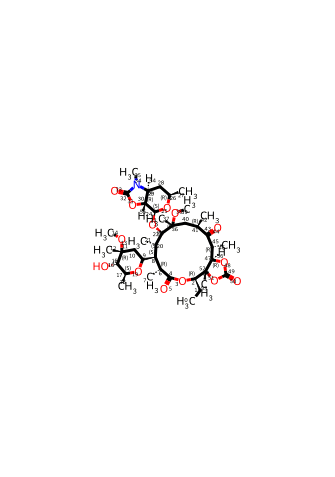 CC[C@H]1OC(=O)[C@H](C)[C@@H](C2C[C@@](C)(OC)[C@@H](O)[C@H](C)O2)[C@H](C)[C@@H](O[C@@H]2O[C@H](C)C[C@H]3[C@H]2OC(=O)N3C)[C@](C)(OC)C[C@@H](C)C(=O)[C@H](C)[C@H]2OC(=O)O[C@@]21C